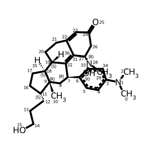 CN(C)c1ccc([C@H]2C[C@]3(C)[C@H](CCCO)CC[C@H]3[C@@H]3CCC4=CC(=O)C[C@@H](N(C)O)C4=C32)cc1